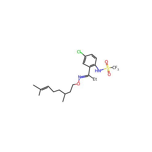 CC/C(=N\OCCC(C)CCC=C(C)C)c1cc(Cl)ccc1NS(=O)(=O)C(F)(F)F